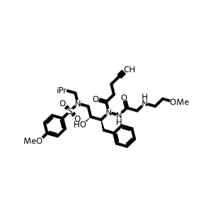 C#CCCC(=O)N(NC(=O)CNCCOC)[C@@H](Cc1ccccc1)[C@H](O)CN(CC(C)C)S(=O)(=O)c1ccc(OC)cc1